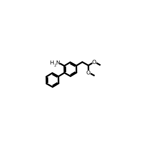 COC(Cc1ccc(-c2ccccc2)c(N)c1)OC